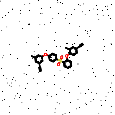 C#Cc1cc(C)cc(Oc2ccc(S(=O)(=O)c3ccccc3Oc3ccc(C#C)cc3C)cc2)c1